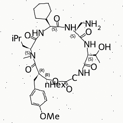 CCCCCC[C@H]1OC(=O)CNC(=O)[C@H](C(C)O)NC(=O)[C@H](CN)NC(=O)[C@H](C2CCCCC2)NC(=O)[C@H](CC(C)C)N(C)C(=O)[C@@H]1Cc1ccc(OC)cc1